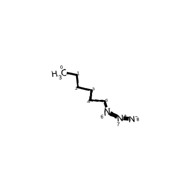 CCCCCCN=[N+]=[N-]